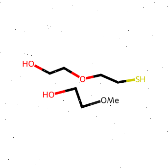 COCCO.OCCOCCS